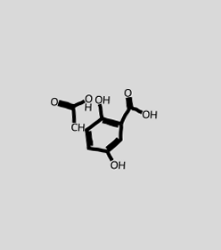 CC(=O)O.O=C(O)c1cc(O)ccc1O